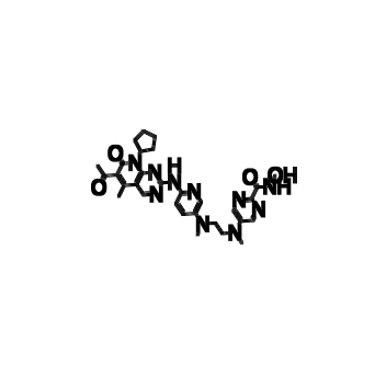 CC(=O)c1c(C)c2cnc(Nc3ccc(N(C)CCN(C)c4cnc(C(=O)NO)nc4)cn3)nc2n(C2CCCC2)c1=O